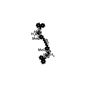 COc1cc(/C=C/C(=O)CC(=O)/C=C/c2ccc(OC(=O)[C@H](C)NC(=O)OCC3c4ccccc4-c4ccccc43)c(OC)c2)ccc1OC(=O)[C@H](C)NC(=O)OCC1c2ccccc2-c2ccccc21